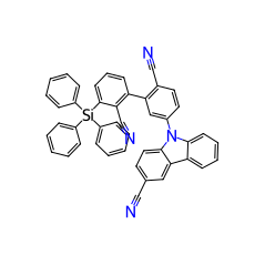 N#Cc1ccc2c(c1)c1ccccc1n2-c1ccc(C#N)c(-c2cccc([Si](c3ccccc3)(c3ccccc3)c3ccccc3)c2C#N)c1